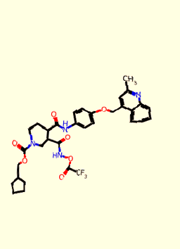 Cc1cc(COc2ccc(NC(=O)C3CCN(C(=O)OCC4CCCC4)CC3C(=O)NOC(=O)C(F)(F)F)cc2)c2ccccc2n1